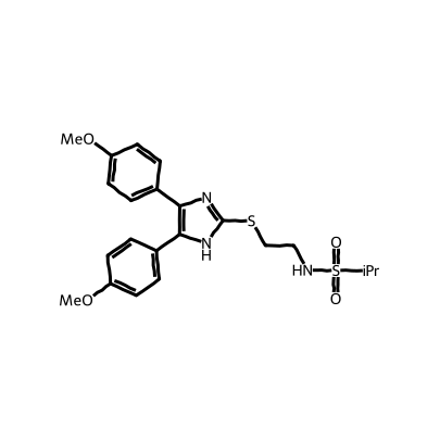 COc1ccc(-c2nc(SCCNS(=O)(=O)C(C)C)[nH]c2-c2ccc(OC)cc2)cc1